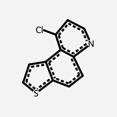 Clc1ccnc2ccc3sccc3c12